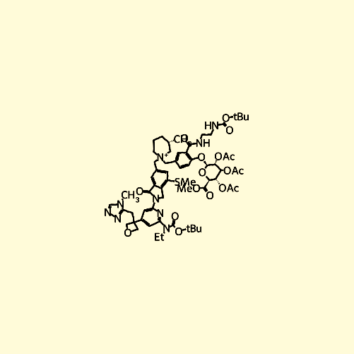 CCN(C(=O)OC(C)(C)C)c1cc(C2(Cc3nncn3C)COC2)cc(N2Cc3c(SC)cc(C[N+]4(Cc5ccc(O[C@@H]6O[C@H](C(=O)OC)[C@@H](OC(C)=O)[C@H](OC(C)=O)[C@H]6OC(C)=O)c(C(=O)NCCNC(=O)OC(C)(C)C)c5)CCC[C@H](C)C4)cc3C2=O)n1